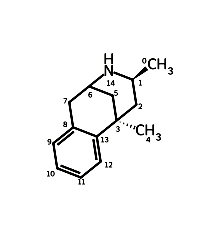 C[C@H]1C[C@]2(C)CC(Cc3ccccc32)N1